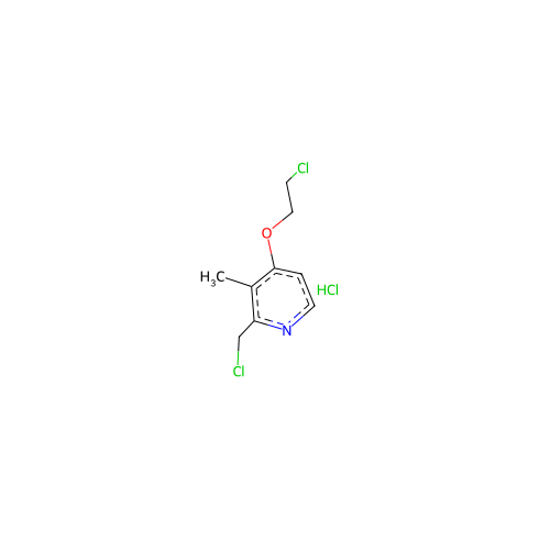 Cc1c(OCCCl)ccnc1CCl.Cl